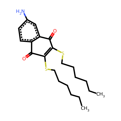 CCCCCCSC1=C(SCCCCCC)C(=O)c2cc(N)ccc2C1=O